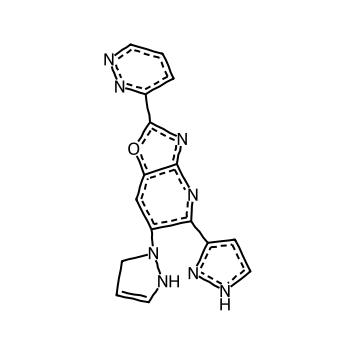 C1=CNN(c2cc3oc(-c4cccnn4)nc3nc2-c2cc[nH]n2)C1